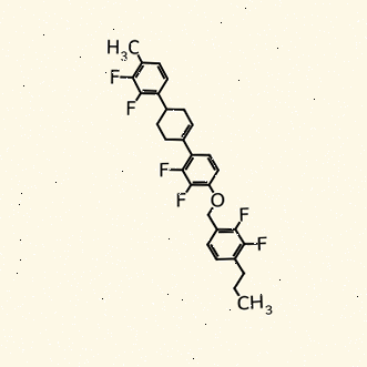 CCCc1ccc(COc2ccc(C3=CCC(c4ccc(C)c(F)c4F)CC3)c(F)c2F)c(F)c1F